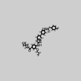 O=C(Cc1ccc(F)cc1)Nc1ccc(-c2ccc3nc(Nc4ccc(C(=O)N5CC6(COC6)C5)cc4OCCF)nn3c2)cc1